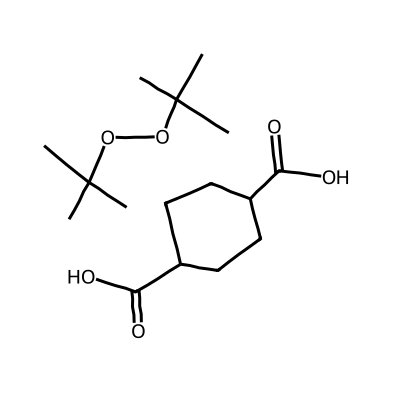 CC(C)(C)OOC(C)(C)C.O=C(O)C1CCC(C(=O)O)CC1